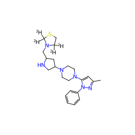 [2H]C1([2H])CSC([2H])([2H])N1CC1CC(N2CCN(c3cc(C)nn3-c3ccccc3)CC2)CN1